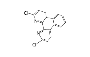 Clc1ccc2c3ccccc3c3ccc(Cl)nc3c2n1